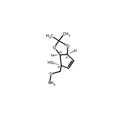 BOC[C@]1(O)C=C[C@@H]2OC(C)(C)O[C@@H]21